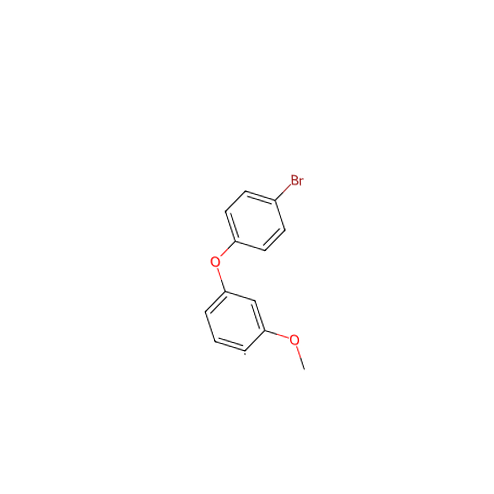 COc1[c]ccc(Oc2ccc(Br)cc2)c1